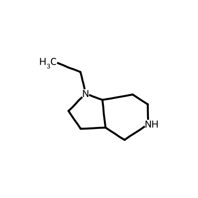 CCN1CCC2CNCCC21